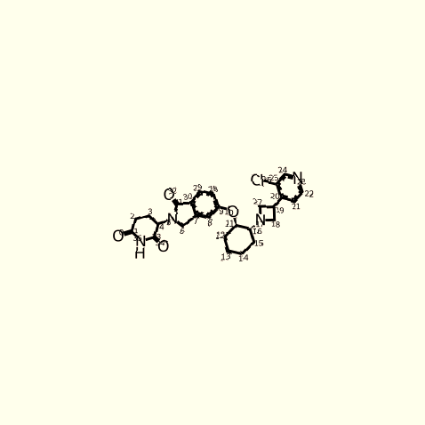 O=C1CCC(N2Cc3cc(O[C@@H]4CCCC[C@H]4N4CC(c5ccncc5Cl)C4)ccc3C2=O)C(=O)N1